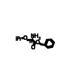 CC(C)OC[C@H](N)C(=O)OCc1ccccc1